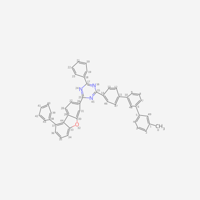 Cc1cccc(-c2cccc(-c3ccc(-c4nc(-c5ccccc5)nc(-c5ccc6c(c5)oc5cccc(-c7ccccc7)c56)n4)cc3)c2)c1